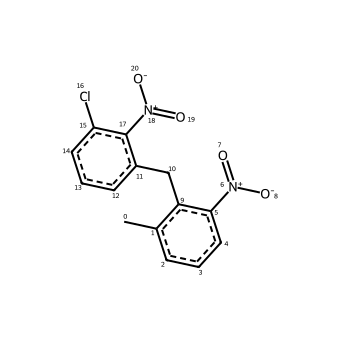 Cc1cccc([N+](=O)[O-])c1Cc1cccc(Cl)c1[N+](=O)[O-]